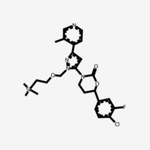 Cc1cnccc1-c1cc(N2CCC(c3ccc(Cl)c(F)c3)OC2=O)n(COCC[Si](C)(C)C)n1